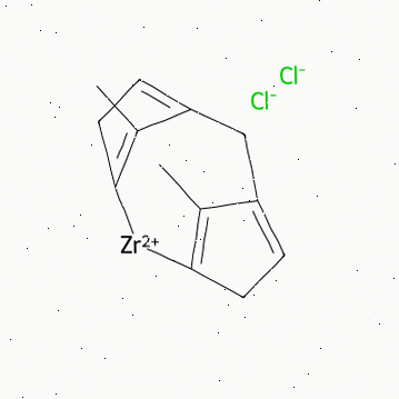 CC1=[C]2CC=C1CC1=CC[C](=C1C)[Zr+2]2.[Cl-].[Cl-]